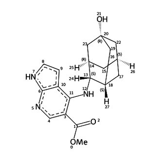 COC(=O)c1cnc2[nH]ccc2c1N[C@@H]1[C@@H]2C[C@@H]3C[C@H]1C[C@](O)(C3)C2